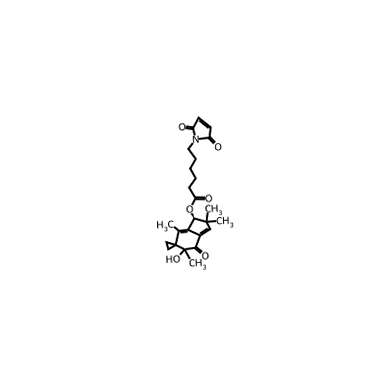 CC1=C2C(=CC(C)(C)[C@@H]2OC(=O)CCCCCN2C(=O)C=CC2=O)C(=O)C(C)(O)C12CC2